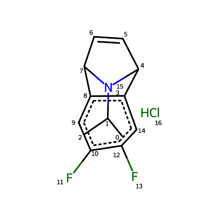 CC(C)N1C2C=CC1c1cc(F)c(F)cc12.Cl